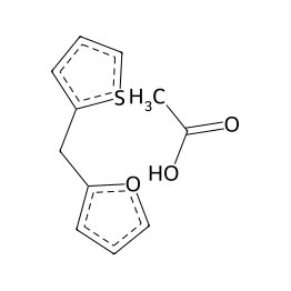 CC(=O)O.c1coc(Cc2cccs2)c1